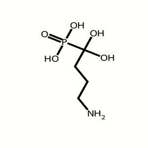 NCCCC(O)(O)P(=O)(O)O